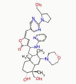 C=C1C(N2CCOCC2)CC2[C@](C)(CC[C@@H](O)[C@@]2(C)CO)C1CC(Nc1ccccn1)C1=C/C(=C\c2cnc(N3CCCC3CO)nc2)OC1=O